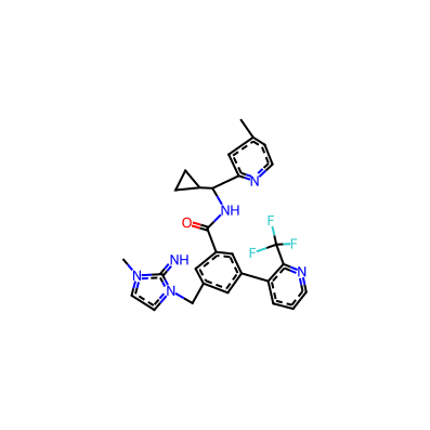 Cc1ccnc(C(NC(=O)c2cc(Cn3ccn(C)c3=N)cc(-c3cccnc3C(F)(F)F)c2)C2CC2)c1